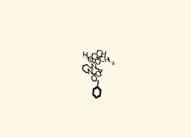 CC(C)(C)OC(=O)N(C1CC1)C1CCCCN1C(=O)OCc1ccccc1